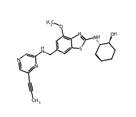 CC#Cc1cncc(NCc2cc(OC)c3nc(N[C@H]4CCCC[C@@H]4O)sc3c2)n1